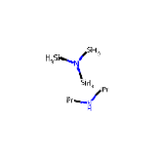 CC(C)NC(C)C.[SiH3]N([SiH3])[SiH3]